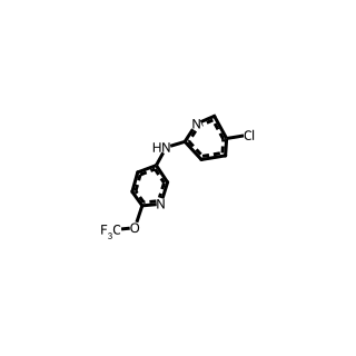 FC(F)(F)Oc1ccc(Nc2ccc(Cl)cn2)cn1